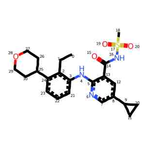 CCc1c(Nc2ncc(C3CC3)cc2C(=O)NS(C)(=O)=O)cccc1C1CCOCC1